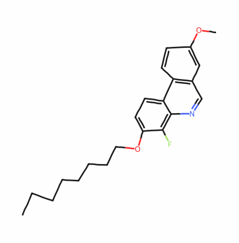 CCCCCCCCOc1ccc2c(ncc3cc(OC)ccc32)c1F